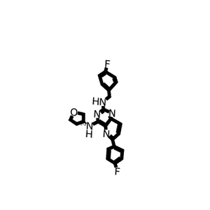 Fc1ccc(CNc2nc(N[C@@H]3CCOC3)c3nc(-c4ccc(F)cc4)ccc3n2)cc1